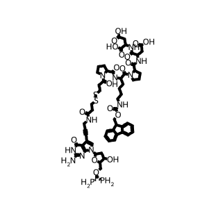 Nc1nc2c(c(C#CCNC(=O)CCSSCCC(=O)N3CCCC3C(=O)NC(CCCCNC(=O)OCC3c4ccccc4-c4ccccc43)C(=O)N3CCCC3C(=O)NC(CC(=O)O)C(=O)NC(CC(=O)O)C(=O)O)cn2C2CC(O)C(COP(P)P)O2)c(=O)[nH]1